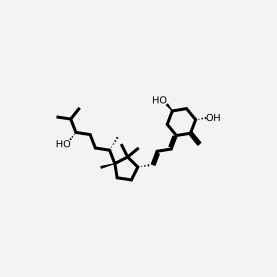 C=C1C(=C/C=C/[C@@H]2CC[C@](C)([C@@H](C)CC[C@H](O)C(C)C)C2(C)C)C[C@@H](O)C[C@@H]1O